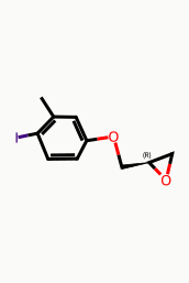 Cc1cc(OC[C@H]2CO2)ccc1I